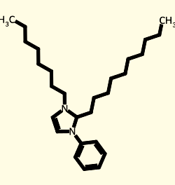 CCCCCCCCCCC1N(CCCCCCCC)C=CN1c1ccccc1